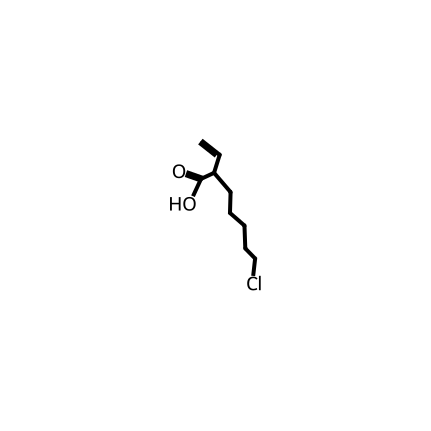 C=CC(CCCCCCl)C(=O)O